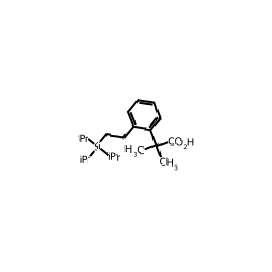 CC(C)[Si](CCc1ccccc1C(C)(C)C(=O)O)(C(C)C)C(C)C